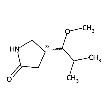 COC(C(C)C)[C@H]1CNC(=O)C1